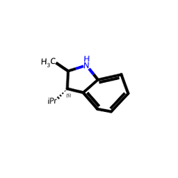 CC(C)[C@H]1c2ccccc2NC1C